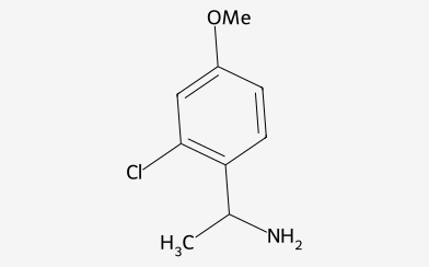 COc1ccc(C(C)N)c(Cl)c1